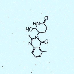 Cc1cccc2nc(C)n([C@@H]3CCC(=O)NC3O)c(=O)c12